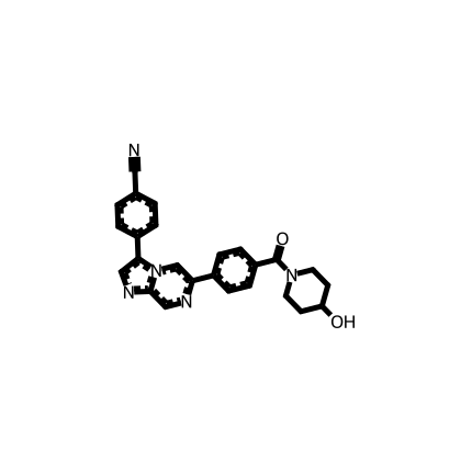 N#Cc1ccc(-c2cnc3cnc(-c4ccc(C(=O)N5CCC(O)CC5)cc4)cn23)cc1